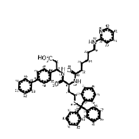 O=C(O)CC(NC(=O)[C@H](CCSC(c1ccccc1)(c1ccccc1)c1ccccc1)NC(=O)CCCCCNc1ccccn1)c1ccc(-c2ccccc2)cc1